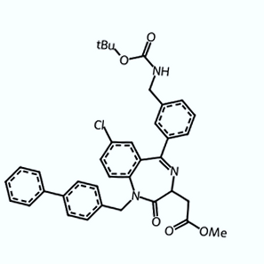 COC(=O)CC1N=C(c2cccc(CNC(=O)OC(C)(C)C)c2)c2cc(Cl)ccc2N(Cc2ccc(-c3ccccc3)cc2)C1=O